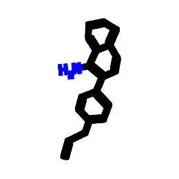 C=CCc1ccc(-c2ccc3ccccc3c2N)cc1